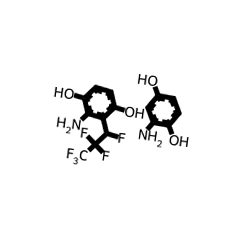 Nc1c(O)ccc(O)c1C(F)C(F)(F)C(F)(F)F.Nc1cc(O)ccc1O